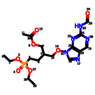 CCOP(=O)(CCC(COC(C)=O)COn1cnc2cnc(NC=O)nc21)OCC